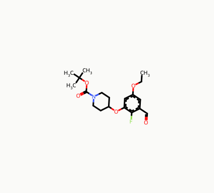 CCOc1cc(C=O)c(F)c(OC2CCN(C(=O)OC(C)(C)C)CC2)c1